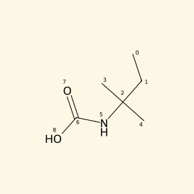 CCC(C)(C)NC(=O)O